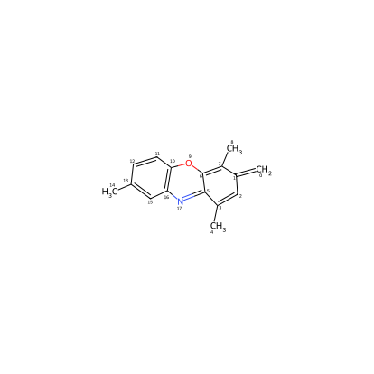 C=c1cc(C)c2c(c1C)Oc1ccc(C)cc1N=2